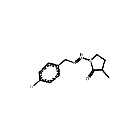 CC1CCN([SH]=NCc2ccc(Br)cc2)C1=O